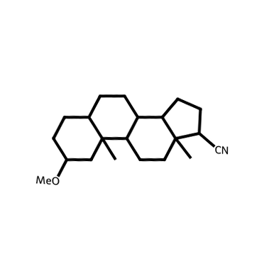 COC1CCC2CCC3C4CCC(C#N)C4(C)CCC3C2(C)C1